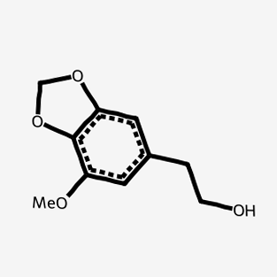 COc1cc(CCO)cc2c1OCO2